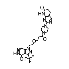 O=C1CCc2cnc(N3CCN(C(=O)CCOCCn4nc(C(F)(F)F)c5c(=O)[nH]ncc54)CC3)nc2N1